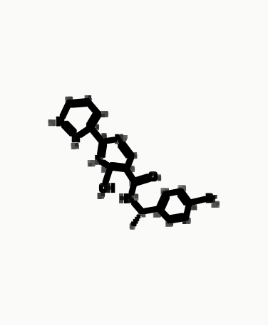 C[C@H](NC(=O)c1cnc(-c2cccnn2)nc1O)c1ccc(Br)cc1